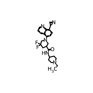 CCN1CCC(NC(=O)C2CN(c3ccc(C4C=N4)c4ncccc34)CC(F)(F)C2)CC1